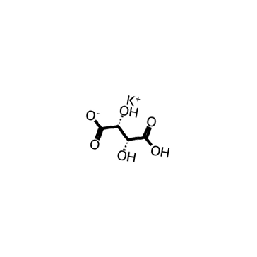 O=C([O-])[C@H](O)[C@@H](O)C(=O)O.[K+]